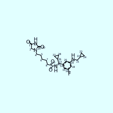 O=C1CN(CCCCCS(=O)(=O)N[C@@H](c2cc(F)cc(NCC3CC3)c2)C2CC2)C(=O)N1